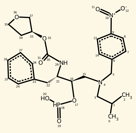 CC(C)CN(Cc1ccc([N+](=O)[O-])cc1)C[C@@H](O[PH](=O)O)[C@H](Cc1ccccc1)NC(=O)O[C@H]1CCOC1